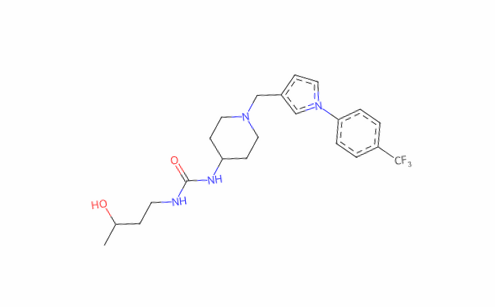 CC(O)CCNC(=O)NC1CCN(Cc2ccn(-c3ccc(C(F)(F)F)cc3)c2)CC1